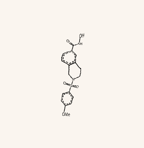 COc1ccc(S(=O)(=O)N2CCc3cc(C(=O)NO)ccc3C2)cc1